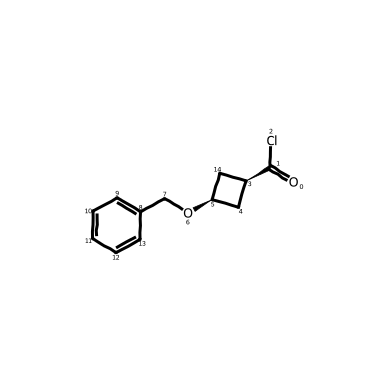 O=C(Cl)[C@H]1C[C@@H](OCc2ccccc2)C1